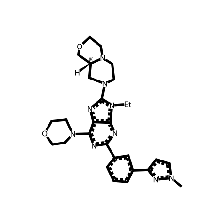 CCn1c(N2CCN3CCOC[C@H]3C2)nc2c(N3CCOCC3)nc(-c3cccc(-c4ccn(C)n4)c3)nc21